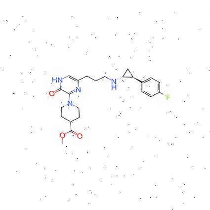 COC(=O)C1CCN(c2nc(CCCN[C@@H]3C[C@H]3c3ccc(F)cc3)c[nH]c2=O)CC1